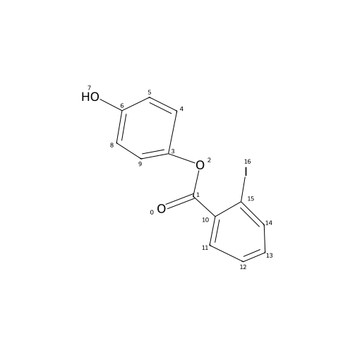 O=C(Oc1ccc(O)cc1)c1ccccc1I